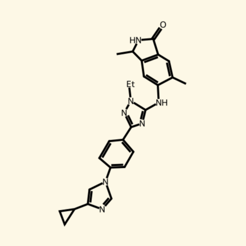 CCn1nc(-c2ccc(-n3cnc(C4CC4)c3)cc2)nc1Nc1cc2c(cc1C)C(=O)NC2C